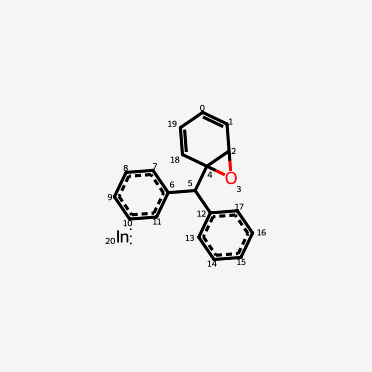 C1=CC2OC2(C(c2ccccc2)c2ccccc2)C=C1.[In]